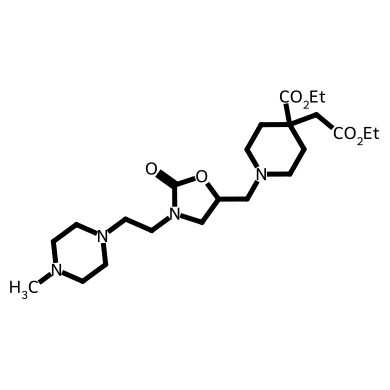 CCOC(=O)CC1(C(=O)OCC)CCN(CC2CN(CCN3CCN(C)CC3)C(=O)O2)CC1